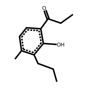 CCCc1c(C)ccc(C(=O)CC)c1O